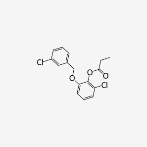 CCC(=O)Oc1c(Cl)cccc1OCc1cccc(Cl)c1